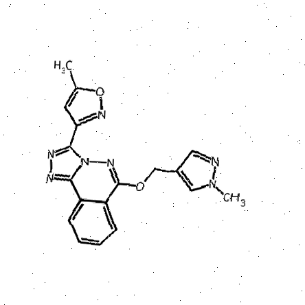 Cc1cc(-c2nnc3c4ccccc4c(OCc4cnn(C)c4)nn23)no1